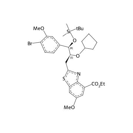 CCOC(=O)c1cc(OC)cc2sc(C[C@H](OC3CCCC3)[C@H](O[Si](C)(C)C(C)(C)C)c3ccc(Br)c(OC)c3)nc12